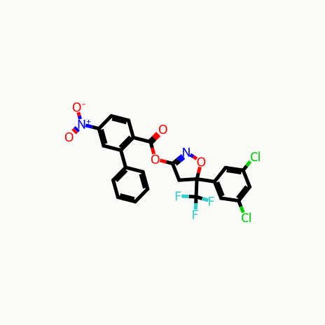 O=C(OC1=NOC(c2cc(Cl)cc(Cl)c2)(C(F)(F)F)C1)c1ccc([N+](=O)[O-])cc1-c1ccccc1